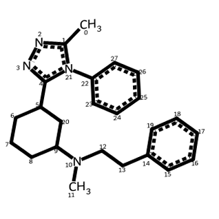 Cc1nnc(C2CCCC(N(C)CCc3ccccc3)C2)n1-c1ccccc1